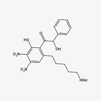 CCCCCCCCCCCCCCCc1cc([N+](=O)[O-])c([N+](=O)[O-])c(O)c1C(=O)C(O)c1ccccc1